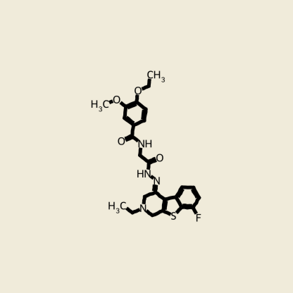 CCOc1ccc(C(=O)NCC(=O)N/N=C2\CN(CC)Cc3sc4c(F)cccc4c32)cc1OC